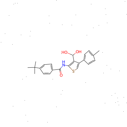 Cc1ccc(-c2csc(NC(=O)c3ccc(C(C)(C)C)cc3)c2C(O)O)cc1